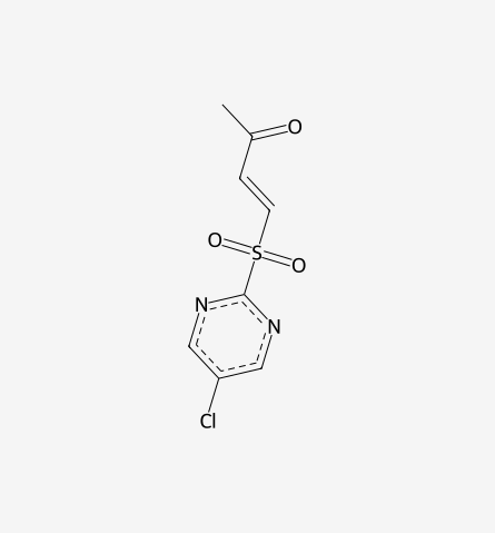 CC(=O)C=CS(=O)(=O)c1ncc(Cl)cn1